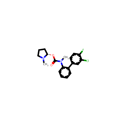 CN(C(=O)O[C@H]1CCCN1C)c1ccccc1-c1ccc(F)c(Cl)c1